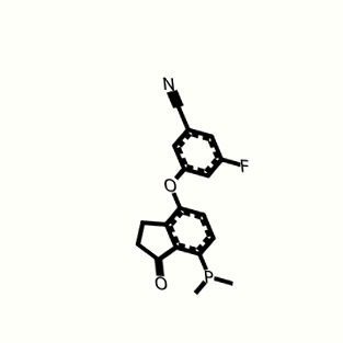 CP(C)c1ccc(Oc2cc(F)cc(C#N)c2)c2c1C(=O)CC2